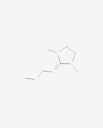 CNC[N+]=C1N(C)CCN1C